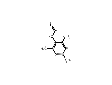 Cc1cc(C)c(O[C]=O)c(C)c1